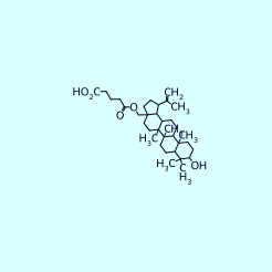 C=C(C)C1CCC2(COC(=O)CCCC(=O)O)CCC3(C)C(CCC4C5(C)CCC(O)C(C)(C)C5CCC43C)C12